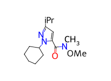 CON(C)C(=O)c1cc(C(C)C)nn1C1CCCCC1